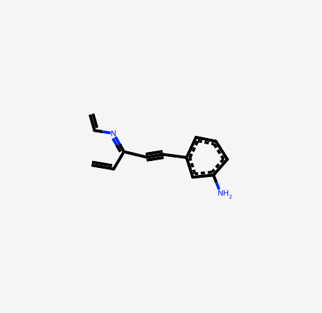 C=C/N=C(/C#Cc1cccc(N)c1)C=C